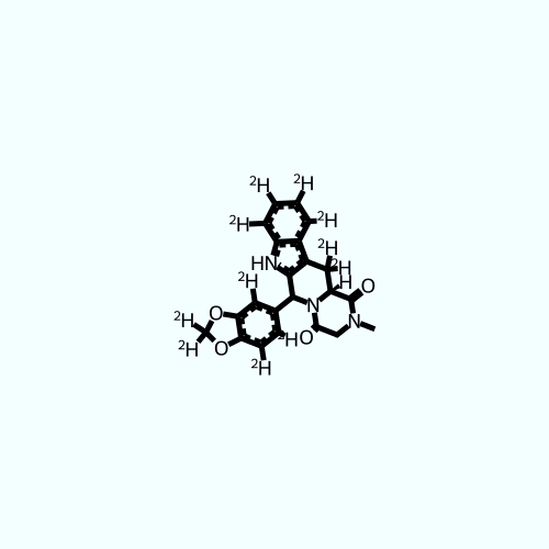 [2H]c1c([2H])c(C2c3[nH]c4c([2H])c([2H])c([2H])c([2H])c4c3C([2H])([2H])[C@@H]3C(=O)N(C)CC(=O)N23)c([2H])c2c1OC([2H])([2H])O2